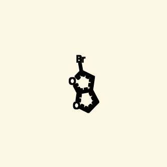 Brc1cc2ccoc2o1